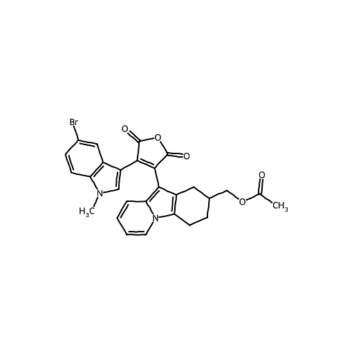 CC(=O)OCC1CCc2c(c(C3=C(c4cn(C)c5ccc(Br)cc45)C(=O)OC3=O)c3ccccn23)C1